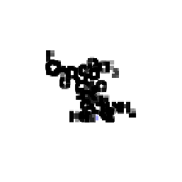 Nc1nc(/C(=N/O)C(=O)N[C@@H]2C(=O)N3C(C(=O)OC(=O)C(F)(F)F)C(=C4CCN(c5cccc(F)c5)C4=O)CS[C@H]23)cs1